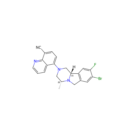 C[C@@H]1CN(c2ccc(C#N)c3ncccc23)C[C@@H]2c3cc(F)c(Br)cc3CN12